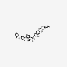 Cc1cc(Oc2ccccc2F)ccc1-n1ncc(C(=O)c2cc3cc(OC4CCN(C(C)C)CC4)c(F)cc3[nH]2)c1N